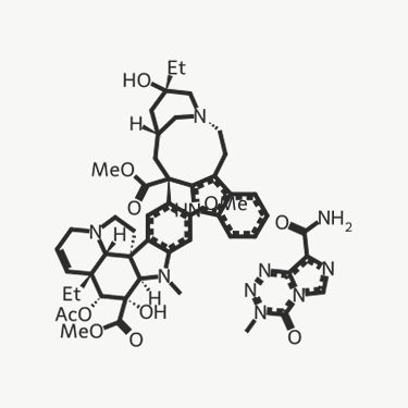 CC[C@]1(O)C[C@@H]2C[N@@](CCc3c([nH]c4ccccc34)[C@@](C(=O)OC)(c3cc4c(cc3OC)N(C)[C@H]3[C@@](O)(C(=O)OC)[C@H](OC(C)=O)[C@]5(CC)C=CCN6CC[C@]43[C@@H]65)C2)C1.Cn1nnc2c(C(N)=O)ncn2c1=O